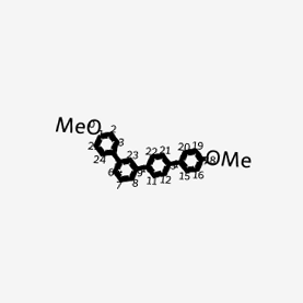 COc1ccc(-c2[c]ccc(-c3ccc(-c4ccc(OC)cc4)cc3)c2)cc1